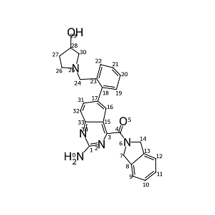 Nc1nc(C(=O)N2Cc3ccccc3C2)c2cc(-c3ccccc3CN3CCC(O)C3)ccc2n1